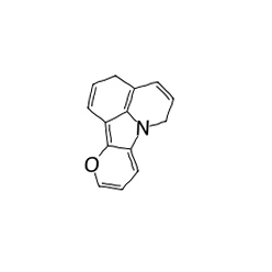 C1=COc2c3c4n(c2=C1)CC=CC=4CC=C3